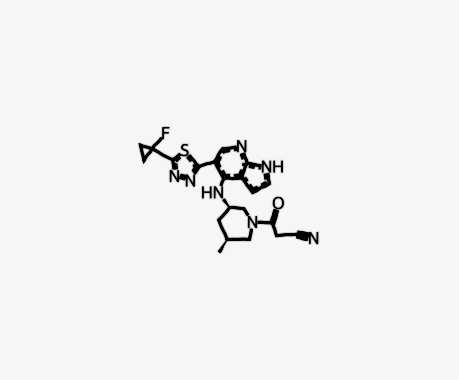 C[C@H]1C[C@@H](Nc2c(-c3nnc(C4(F)CC4)s3)cnc3[nH]ccc23)CN(C(=O)CC#N)C1